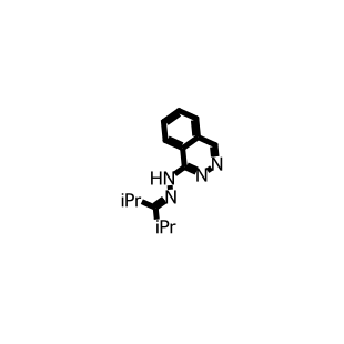 CC(C)C(=NNc1nncc2ccccc12)C(C)C